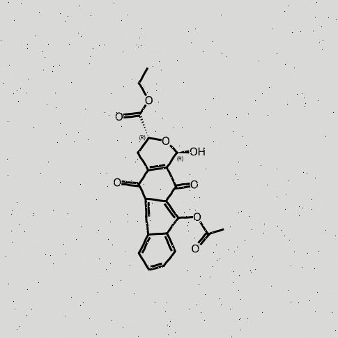 CCOC(=O)[C@H]1CC2=C(C(=O)c3c(cc4ccccc4c3OC(C)=O)C2=O)[C@H](O)O1